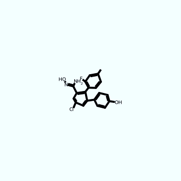 Cc1ccc(-c2c(/C(N)=N/O)cc(Cl)cc2-c2ccc(O)cc2)c(F)c1